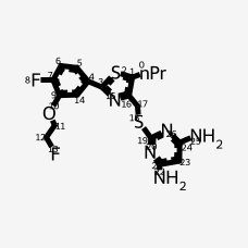 CCCc1sc(-c2ccc(F)c(OCCF)c2)nc1CSc1nc(N)cc(N)n1